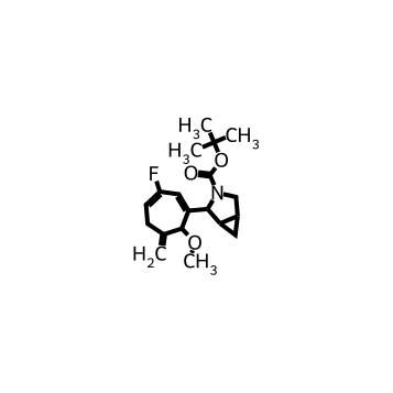 C=C1CC=C(F)C=C(C2C3CC3CN2C(=O)OC(C)(C)C)C1OC